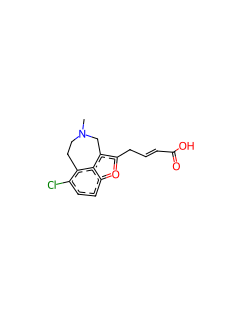 CN1CCc2c(Cl)ccc3oc(CC=CC(=O)O)c(c23)C1